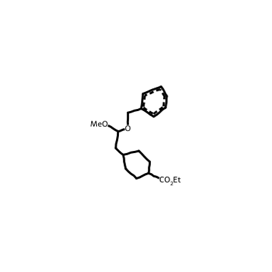 CCOC(=O)C1CCC(CC(OC)OCc2ccccc2)CC1